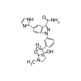 C=C(c1cccc(-n2nc(C(N)=O)c3cc(-c4ncc[nH]4)ccc32)c1)[C@]1(O)CCN(C)C1=O